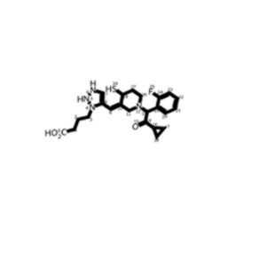 O=C(O)CCCN1NNC=C1C=C1CN(C(C(=O)C2CC2)c2ccccc2F)CCC1S